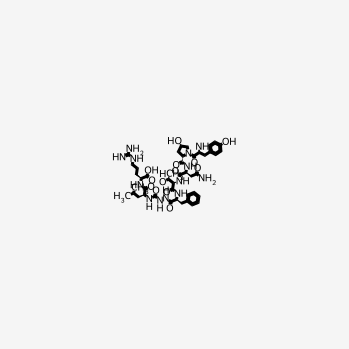 CC(C)C[C@H](NC(=O)NNC(=O)[C@H](Cc1ccccc1)NC(=O)[C@@H](NC(=O)[C@H](CC(N)=O)NC(=O)[C@@H]1C[C@@H](O)CN1C(=O)[C@@H](N)Cc1ccc(O)cc1)[C@@H](C)O)C(=O)N[C@@H](CCCNC(=N)N)C(=O)O